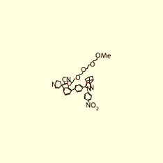 C=C(C#N)C1(c2cccc(-c3ccc(-c4c5c(nn4-c4ccc([N+](=O)[O-])cc4)C4CC(C5)C4(C)C)cc3)c2OCCOCCOCCOCCOC)C=CN=CC1